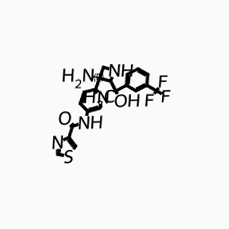 CC(O)(c1cccc(C(F)(F)F)c1)C1NC[C@]1(N)c1ccc(NC(=O)c2cscn2)cn1